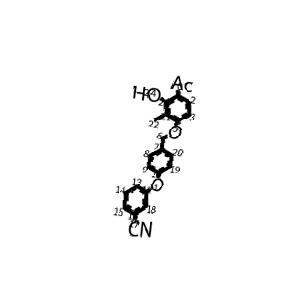 CC(=O)c1ccc(OCc2ccc(Oc3cccc(C#N)c3)cc2)c(C)c1O